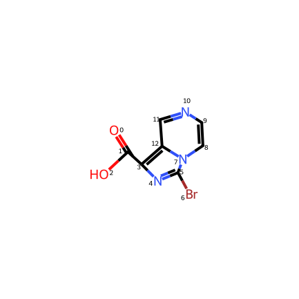 O=C(O)c1nc(Br)n2ccncc12